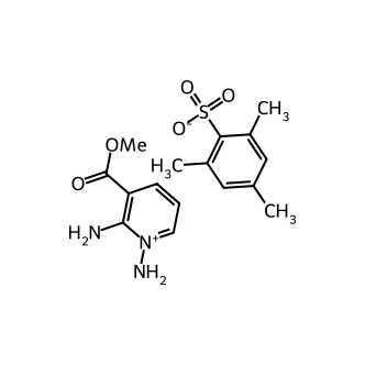 COC(=O)c1ccc[n+](N)c1N.Cc1cc(C)c(S(=O)(=O)[O-])c(C)c1